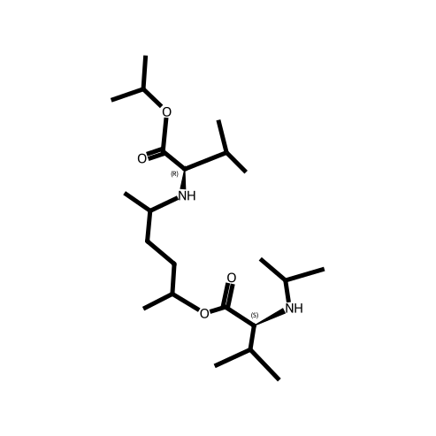 CC(C)N[C@H](C(=O)OC(C)CCC(C)N[C@@H](C(=O)OC(C)C)C(C)C)C(C)C